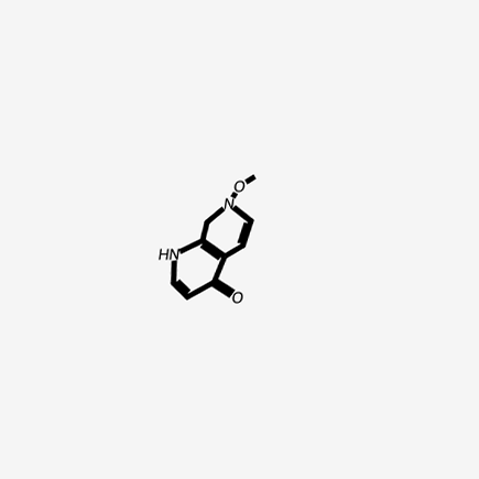 CON1C=Cc2c([nH]ccc2=O)C1